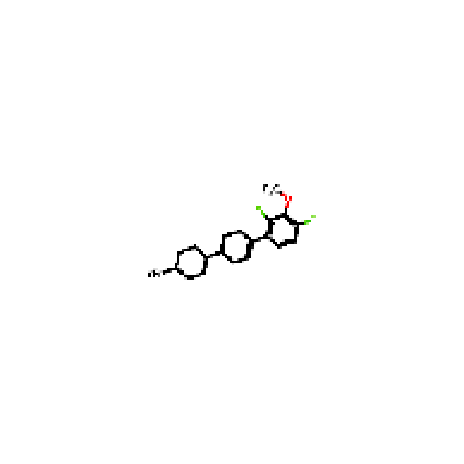 CCCC1CCC(C2CC=C(c3ccc(F)c(OC(F)(F)F)c3F)CC2)CC1